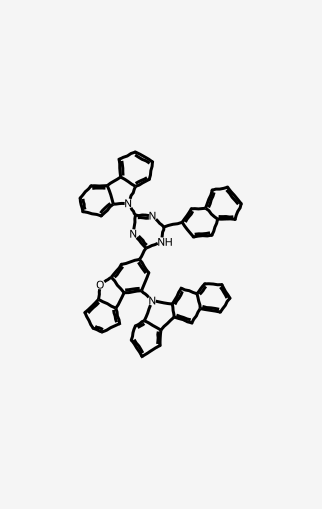 c1ccc2cc(C3N=C(n4c5ccccc5c5ccccc54)N=C(c4cc(-n5c6ccccc6c6cc7ccccc7cc65)c5c(c4)oc4ccccc45)N3)ccc2c1